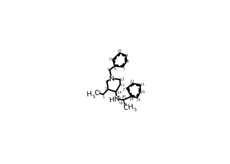 CCC1CN(Cc2ccccc2)CCC1N[C@H](C)c1ccccc1